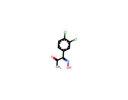 CC(=O)C(=NO)c1ccc(Cl)c(Cl)c1